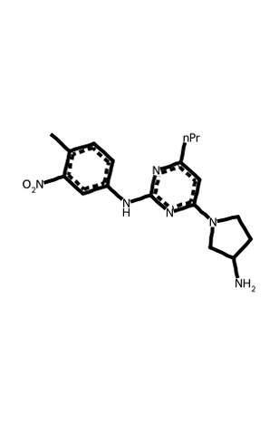 CCCc1cc(N2CCC(N)C2)nc(Nc2ccc(C)c([N+](=O)[O-])c2)n1